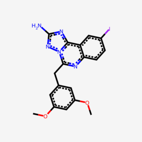 COc1cc(Cc2nc3ccc(I)cc3c3nc(N)nn23)cc(OC)c1